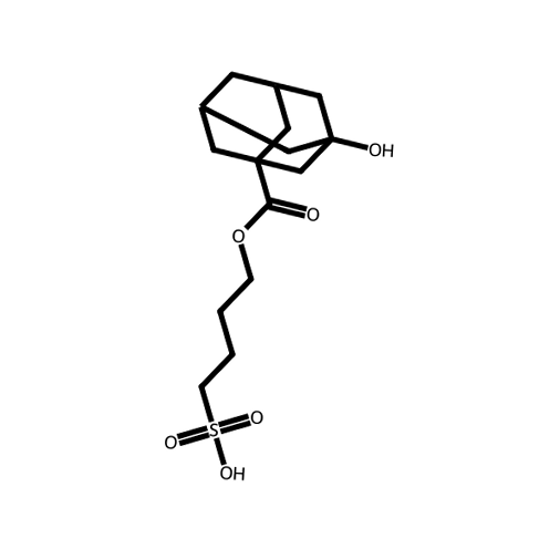 O=C(OCCCCS(=O)(=O)O)C12CC3CC(CC(O)(C3)C1)C2